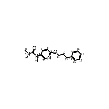 CN(C)C(=O)Nc1ccc(OCCCc2ccccc2)nc1